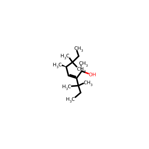 CCC(C)(C)/C(=C/[C@@H](C)C(C)(C)CC)[C@H](C)O